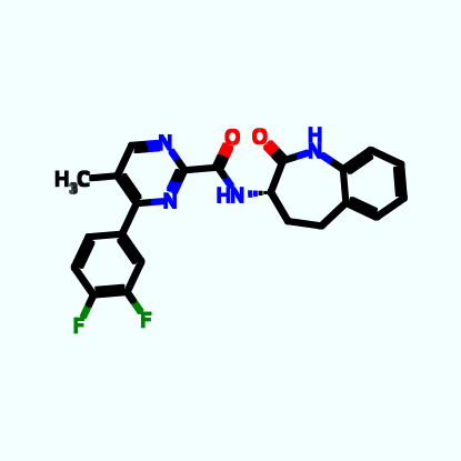 Cc1cnc(C(=O)N[C@H]2CCc3ccccc3NC2=O)nc1-c1ccc(F)c(F)c1